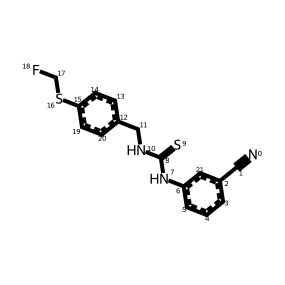 N#Cc1cccc(NC(=S)NCc2ccc(SCF)cc2)c1